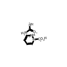 CCCC(N)=O.O=C(O)N1C=CC=CN1